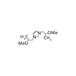 COC(C)CN1C=CN(CC(C)OC)C1